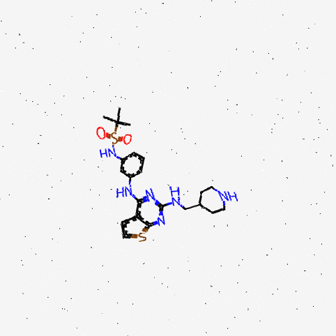 CC(C)(C)S(=O)(=O)Nc1cccc(Nc2nc(NCC3CCNCC3)nc3sccc23)c1